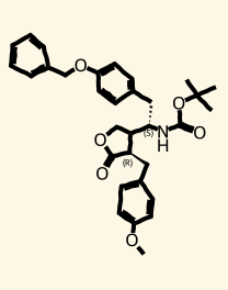 COc1ccc(C[C@H]2C(=O)OCC2[C@H](Cc2ccc(OCc3ccccc3)cc2)NC(=O)OC(C)(C)C)cc1